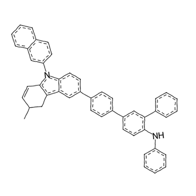 CC1C=Cc2c(c3cc(-c4ccc(-c5ccc(Nc6ccccc6)c(-c6ccccc6)c5)cc4)ccc3n2-c2ccc3ccccc3c2)C1